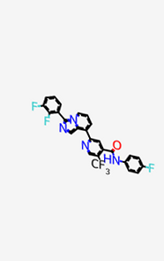 O=C(Nc1ccc(F)cc1)c1cc(-c2cccn3c(-c4cccc(F)c4F)ncc23)ncc1C(F)(F)F